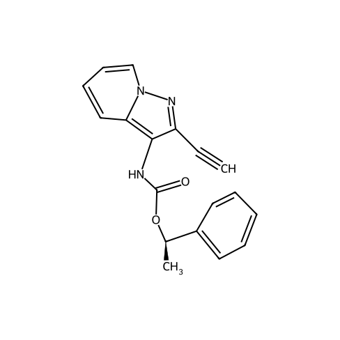 C#Cc1nn2ccccc2c1NC(=O)O[C@H](C)c1ccccc1